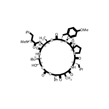 CC[C@H](C)[C@H]1NC(=O)[C@@H](NC(=O)[C@@H](CC(C)C)NC)[C@@H](C)OC(=O)[C@H](Cc2ccc(OC)cc2)N(C)C(=O)[C@@H]2CCCN2C(=O)[C@H](CC(C)C)NC(=O)C(C)C(=O)[C@H](C(C)C)OC(=O)C[C@@H]1O